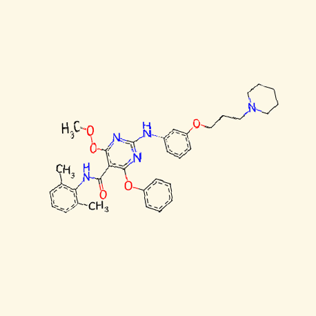 COOc1nc(Nc2cccc(OCCCN3CCCCC3)c2)nc(Oc2ccccc2)c1C(=O)Nc1c(C)cccc1C